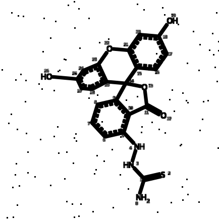 NC(=S)NNc1cccc2c1C(=O)OC21c2ccc(O)cc2Oc2cc(O)ccc21